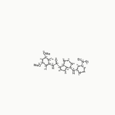 CCN(CC)c1ccnc(Nc2ncnc3c(C(=O)Nc4c(C)c(OC)cc(OC)c4I)csc23)c1